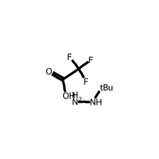 CC(C)(C)NN.O=C(O)C(F)(F)F